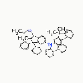 C=C/C=C\C1=C(C)C(c2ccccc2)(c2ccccc2)c2cc(N(c3ccc4c(c3)C(C)(C)c3ccccc3-4)c3ccccc3-c3ccccc3)ccc21